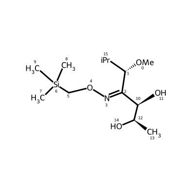 CO[C@H](/C(=N\OC[Si](C)(C)C)[C@@H](O)[C@@H](C)O)C(C)C